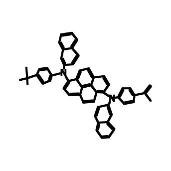 C=C(C)c1ccc(N(c2ccc3ccccc3c2)c2ccc3ccc4c(N(c5ccc(C(C)(C)C)cc5)c5ccc6ccccc6c5)ccc5ccc2c3c54)cc1